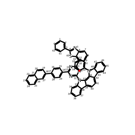 c1ccc(-c2nc3cccc(-c4nc(-c5ccc(-c6ccc7ccccc7c6)cc5)nc(-n5c6ccccc6c6ccc7c8ccccc8n(-c8ccccc8)c7c65)n4)c3s2)cc1